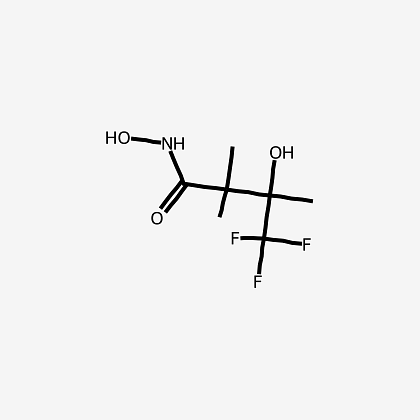 CC(C)(C(=O)NO)C(C)(O)C(F)(F)F